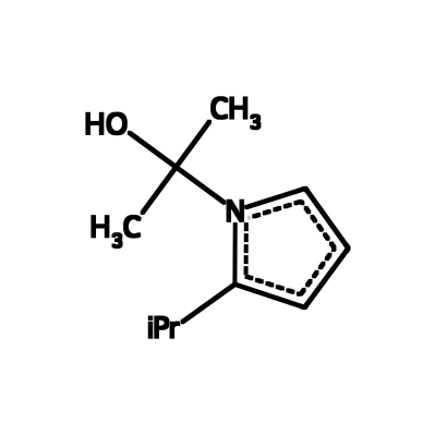 CC(C)c1cccn1C(C)(C)O